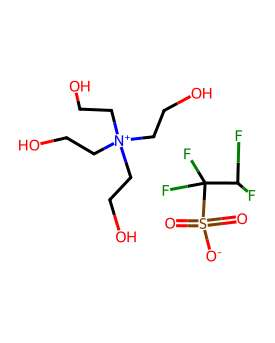 O=S(=O)([O-])C(F)(F)C(F)F.OCC[N+](CCO)(CCO)CCO